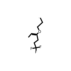 [CH2]CCOC(=CC)CCC(F)(F)F